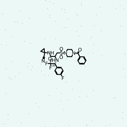 N#CC1(NC(=O)C(CS(=O)(=O)N2CCN(C(=O)c3ccccc3)CC2)N[C@H](c2ccc(F)cc2)C(F)(F)F)CC1